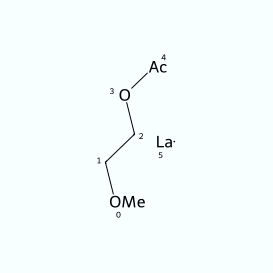 COCCOC(C)=O.[La]